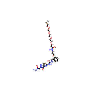 CC(=O)SCCOCCOCCOCCOCCC(=O)NCCCOc1ccccc1CNC(=O)Nc1nc(C(=O)NCC(N)=O)cs1